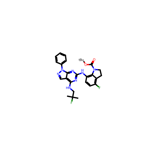 CC(C)(F)CNc1nc(Nc2ccc(F)c3c2N(C(=O)OC(C)(C)C)CC3)nc2c1cnn2-c1ccccc1